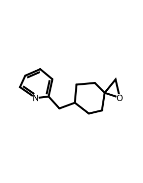 c1ccc(CC2CCC3(CC2)CO3)nc1